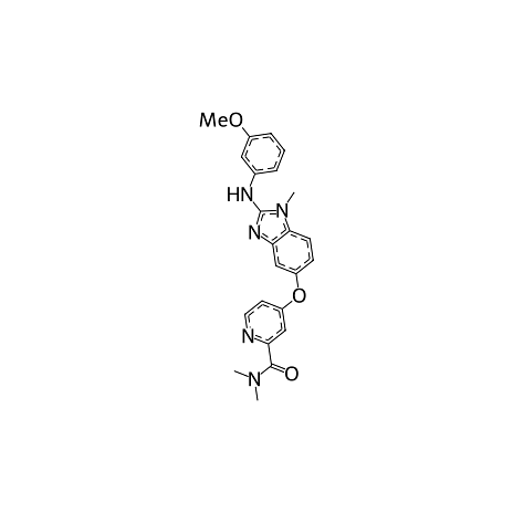 COc1cccc(Nc2nc3cc(Oc4ccnc(C(=O)N(C)C)c4)ccc3n2C)c1